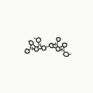 Cc1cccc(-n2c3ccccc3c3c2ccc2c4cc(-c5ccc6c7ccc8c(c9ccccc9n8-c8ccccc8)c7n(-c7cccc(C)c7)c6c5)ccc4n(-c4ccccc4)c23)c1